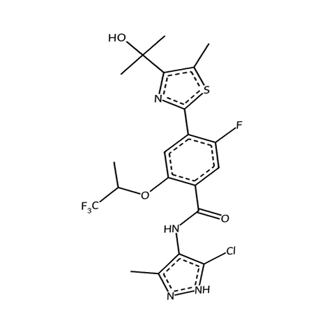 Cc1n[nH]c(Cl)c1NC(=O)c1cc(F)c(-c2nc(C(C)(C)O)c(C)s2)cc1OC(C)C(F)(F)F